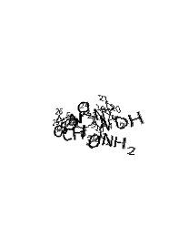 CS(=O)(=O)C1(CN2CCc3c(C(N)=O)nn(CC4(CO)CC4)c3C2=O)CC1